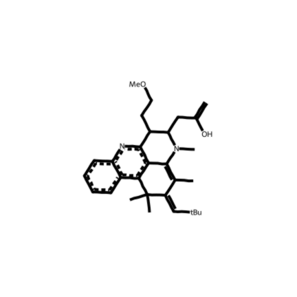 C=C(O)CC1C(CCOC)c2nc3ccccc3c3c2C(=C(C)/C(=C\C(C)(C)C)C3(C)C)N1C